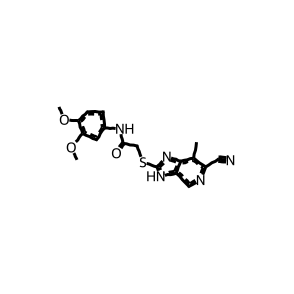 COc1ccc(NC(=O)CSc2nc3c(C)c(C#N)ncc3[nH]2)cc1OC